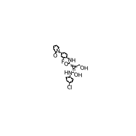 O=C(Nc1ccc(-n2ccccc2=O)cc1F)[C@@H]1[C@@H](CO)[C@@H]1C(O)Nc1ccc(Cl)cc1